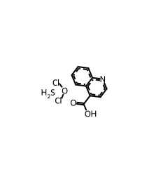 ClOCl.O=C(O)c1ccnc2ccccc12.S